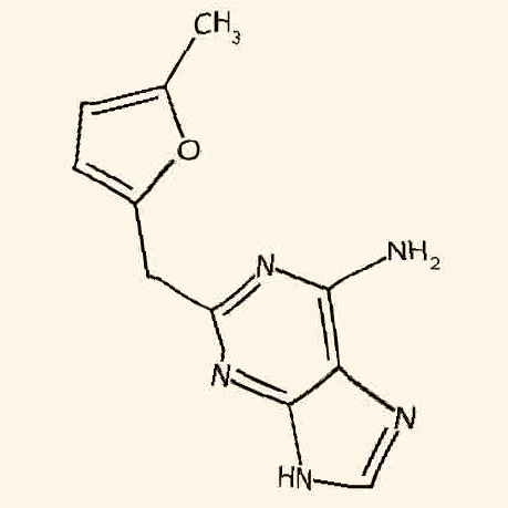 Cc1ccc(Cc2nc(N)c3nc[nH]c3n2)o1